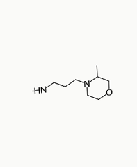 CC1COCCN1CCC[NH]